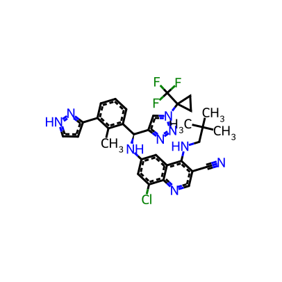 Cc1c(-c2cc[nH]n2)cccc1[C@H](Nc1cc(Cl)c2ncc(C#N)c(NCC(C)(C)C)c2c1)c1cn(C2(C(F)(F)F)CC2)nn1